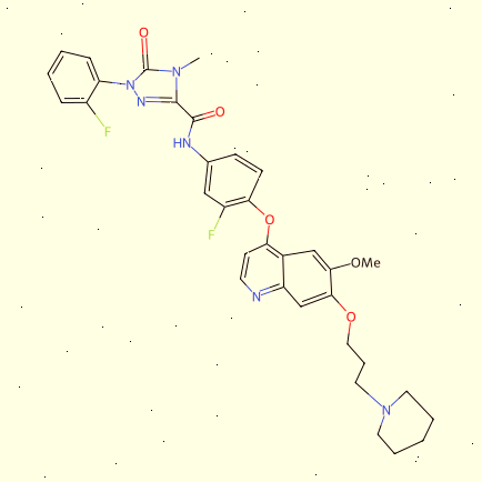 COc1cc2c(Oc3ccc(NC(=O)c4nn(-c5ccccc5F)c(=O)n4C)cc3F)ccnc2cc1OCCCN1CCCCC1